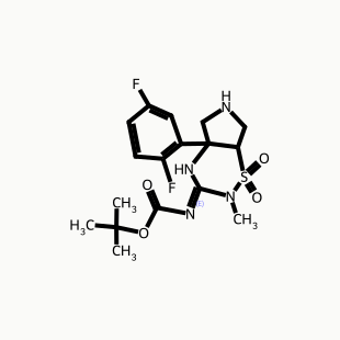 CN1/C(=N/C(=O)OC(C)(C)C)NC2(c3cc(F)ccc3F)CNCC2S1(=O)=O